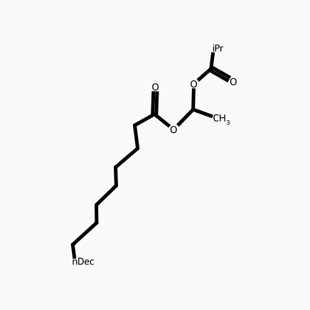 CCCCCCCCCCCCCCCCCC(=O)OC(C)OC(=O)C(C)C